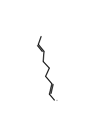 [CH2]C=CCCCC=CC